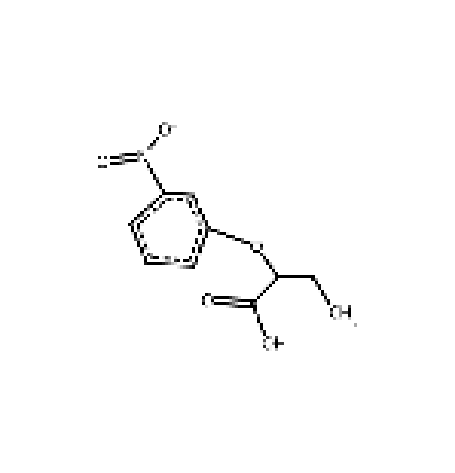 CCC(Oc1cccc([N+](=O)[O-])c1)C(=O)O